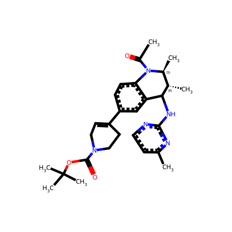 CC(=O)N1c2ccc(C3=CCN(C(=O)OC(C)(C)C)CC3)cc2C(Nc2nccc(C)n2)[C@@H](C)[C@@H]1C